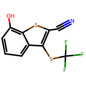 N#Cc1sc2c(O)cccc2c1SC(F)(F)F